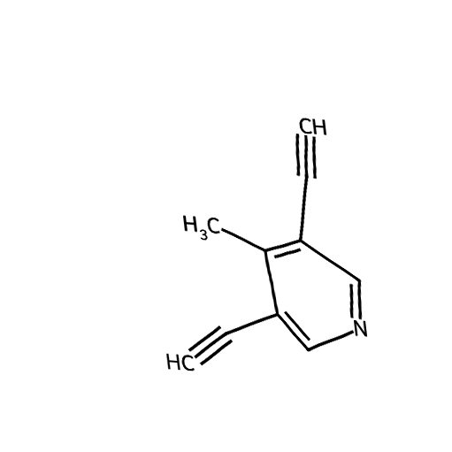 C#Cc1cncc(C#C)c1C